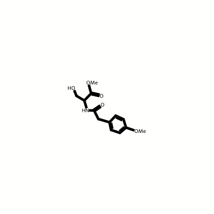 COC(=O)C(CO)NC(=O)Cc1ccc(OC)cc1